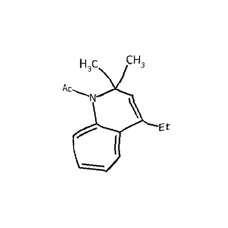 CCC1=CC(C)(C)N(C(C)=O)c2ccccc21